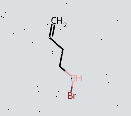 C=CCCBBr